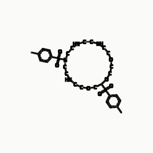 Cc1ccc(S(=O)(=O)C2COCCNCCN(S(=O)(=O)c3ccc(C)cc3)CCNCCNCCOCCO2)cc1